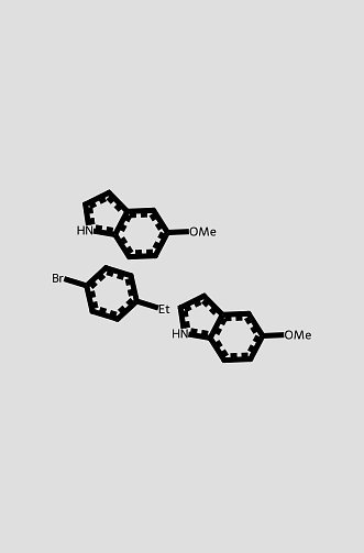 CCc1ccc(Br)cc1.COc1ccc2[nH]ccc2c1.COc1ccc2[nH]ccc2c1